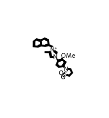 COc1cc(N2CCCS2(=O)=O)ccc1-n1cc(C)[n+](Cc2ccc3ccccc3c2)c1